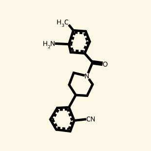 Cc1ccc(C(=O)N2CCC(c3ccccc3C#N)CC2)cc1N